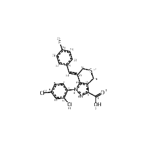 O=C(O)c1nn(-c2ccc(Cl)cc2Cl)c2c1CSC/C2=C\c1ccc(F)cc1